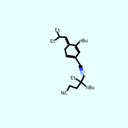 CCCCC1=CC(C#[N+]CC(CC)(CCC#N)CCCC)=CCC1=CC(CC)CC